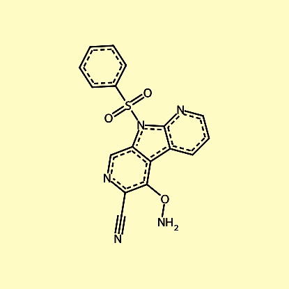 N#Cc1ncc2c(c1ON)c1cccnc1n2S(=O)(=O)c1ccccc1